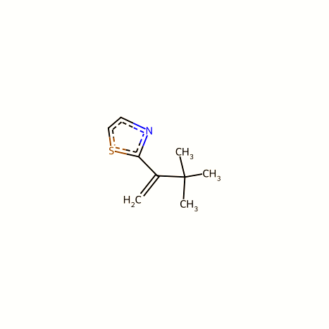 C=C(c1nccs1)C(C)(C)C